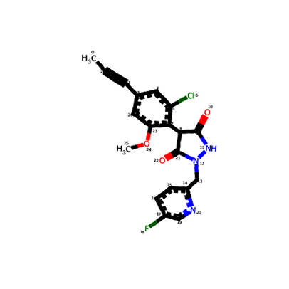 CC#Cc1cc(Cl)c(C2C(=O)NN(Cc3ccc(F)cn3)C2=O)c(OC)c1